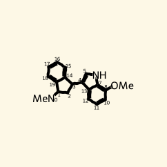 CNC1CC(c2c[nH]c3c(OC)cccc23)c2ccccc21